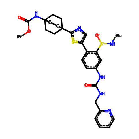 CC(C)OC(=O)NC12CCC(c3ncc(-c4ccc(NC(=O)NCc5ccccn5)cc4[S+]([O-])NC(C)(C)C)s3)(CC1)CC2